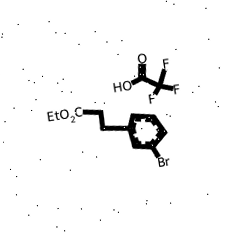 CCOC(=O)CCc1cccc(Br)c1.O=C(O)C(F)(F)F